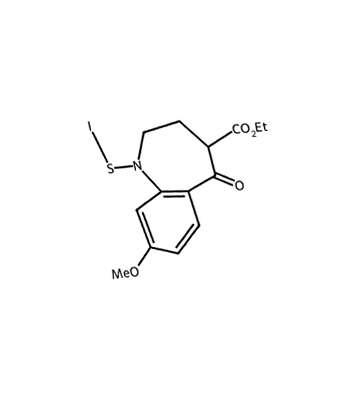 CCOC(=O)C1CCN(SI)c2cc(OC)ccc2C1=O